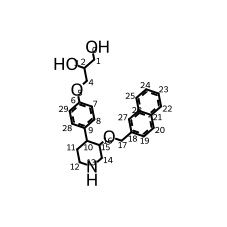 OCC(O)COc1ccc(C2CCNCC2OCc2ccc3ccccc3c2)cc1